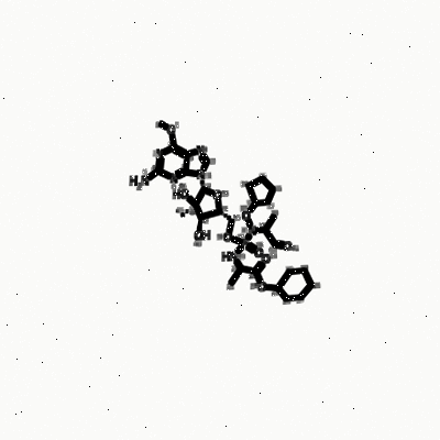 COc1nc(N)nc2c1ncn2[C@@H]1O[C@H](COP(=O)(NC(C)C(=O)OC2CCCCC2)N(OC2CCCC2)C(C)C=O)[C@@H](O)[C@@]1(C)O